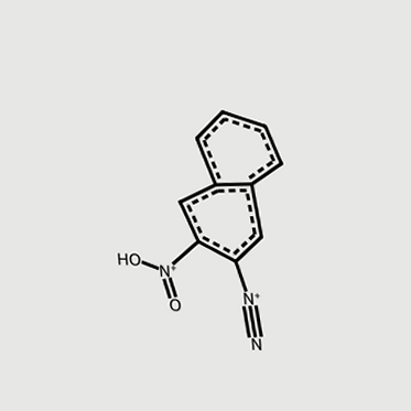 N#[N+]c1cc2ccccc2cc1[N+](=O)O